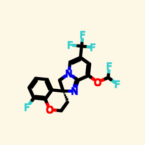 Fc1cccc2c1OCC[C@@]21CN2C=C(C(F)(F)F)C=C(OC(F)F)C2=N1